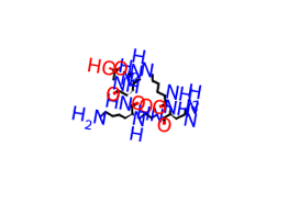 NCCCC[C@H](NC(=O)CNC(=O)[C@H](Cc1c[nH]cn1)NC(=O)[C@@H](N)CCCCN)C(=O)N[C@@H](Cc1c[nH]cn1)C(=O)NCC(=O)O